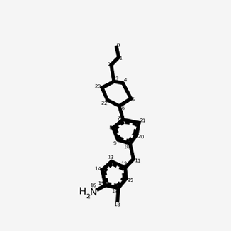 CCCC1CCC(c2ccc(Cc3ccc(N)c(C)c3)cc2)CC1